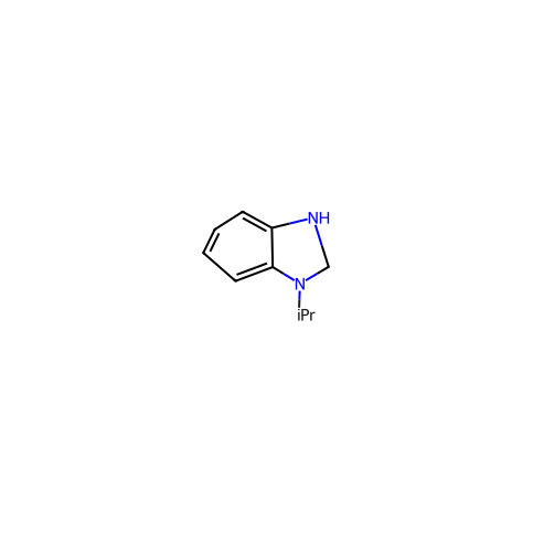 CC(C)N1CNc2ccccc21